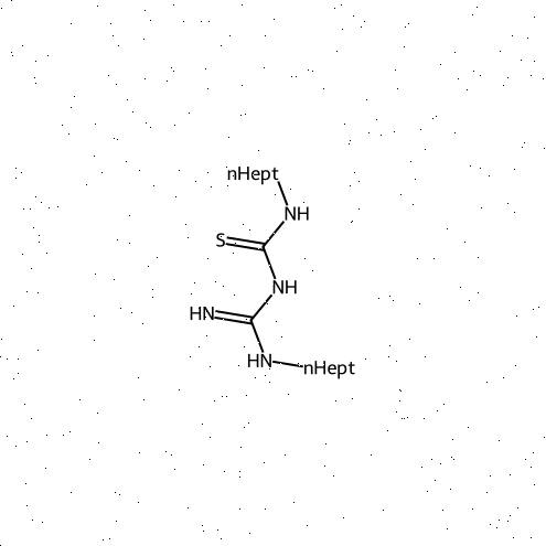 CCCCCCCNC(=N)NC(=S)NCCCCCCC